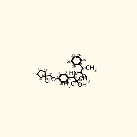 C[C@H](C(=O)NC(c1ccc(OCC2(Cl)CCCC2)cc1)C(C)(C)O)c1ccccc1